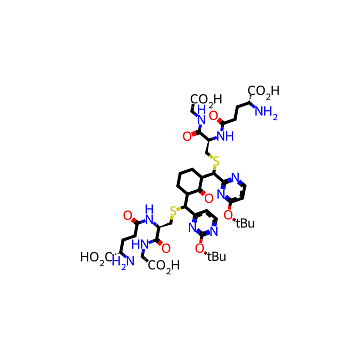 CC(C)(C)Oc1ccnc(C(SC[C@H](NC(=O)CC[C@@H](N)C(=O)O)C(=O)NCC(=O)O)C2CCCC(C(SC[C@H](NC(=O)CC[C@H](N)C(=O)O)C(=O)NCC(=O)O)c3ccnc(OC(C)(C)C)n3)C2=O)n1